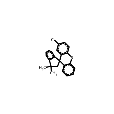 CC1(C)CC2(c3ccccc3Sc3ccc(Cl)cc32)c2ccccc21